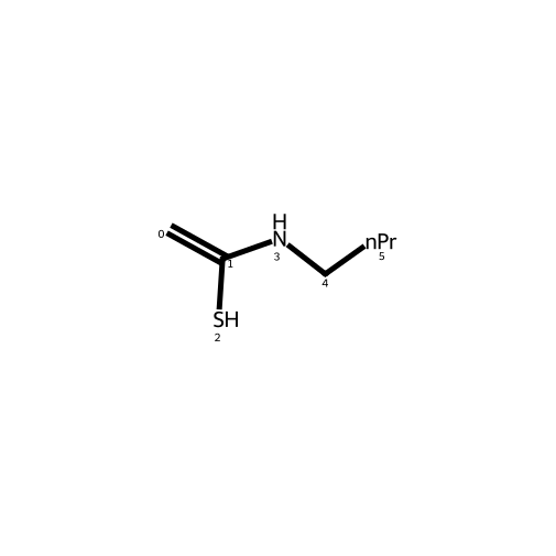 C=C(S)NCCCC